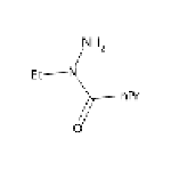 CCCC(=O)N(N)CC